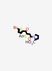 CC(=O)SC(CC(=O)N1CCC[C@H]1C(=O)O)C(=O)c1ccc(Br)s1